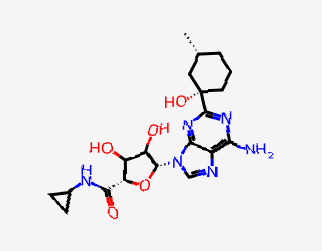 C[C@@H]1CCC[C@@](O)(c2nc(N)c3ncn([C@@H]4O[C@H](C(=O)NC5CC5)C(O)C4O)c3n2)C1